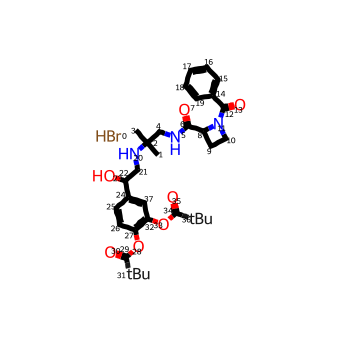 Br.CC(C)(CNC(=O)C1CCN1C(=O)c1ccccc1)NCC(O)c1ccc(OC(=O)C(C)(C)C)c(OC(=O)C(C)(C)C)c1